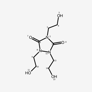 O=c1n(CCO)c(=O)n(CCO)n1CCO